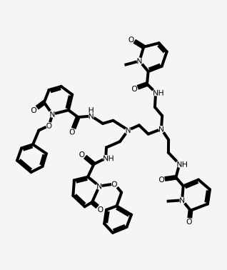 Cn1c(C(=O)NCCN(CCNC(=O)c2cccc(=O)n2C)CCN(CCNC(=O)c2cccc(=O)n2OCc2ccccc2)CCNC(=O)c2cccc(=O)n2OCc2ccccc2)cccc1=O